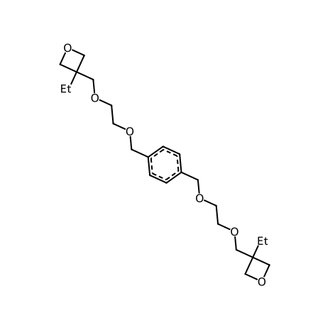 CCC1(COCCOCc2ccc(COCCOCC3(CC)COC3)cc2)COC1